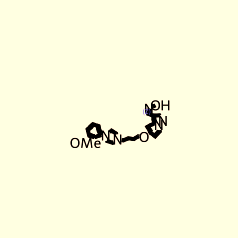 COc1ccccc1N1CCN(CCCCOc2ccn3ncc(/C=N\O)c3c2)CC1